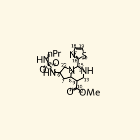 CCCNS(=O)(=O)NC1CC2C(C(=O)OC)CNC(c3nccs3)N2C1